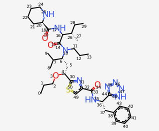 CCCO[C@H](C[C@H](C(C)C)N(CCC)C(=O)[C@@H](NC(=O)[C@H]1CCCCN1)[C@@H](C)CC)c1nc(C(=O)N[C@@H](Cc2ccccc2)c2nnn[nH]2)cs1